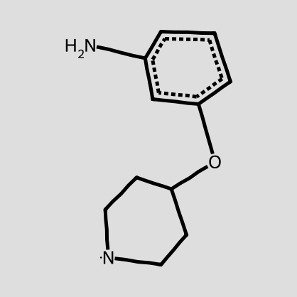 Nc1cccc(OC2CC[N]CC2)c1